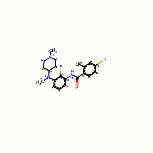 CN1CCC(N(C)c2cccc(NC(=O)c3ccc(F)cc3Cl)c2F)CC1